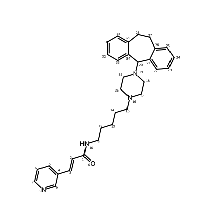 O=C(C=Cc1cccnc1)NCCCCCN1CCN(C2c3ccccc3CCc3ccccc32)CC1